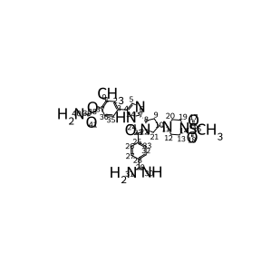 Cc1cc(-c2cnc([C@@H]3C[C@H](N4CCN(S(C)(=O)=O)CC4)CN3C(=O)c3ccc(C(=N)N)cc3)[nH]2)ccc1OC(N)=O